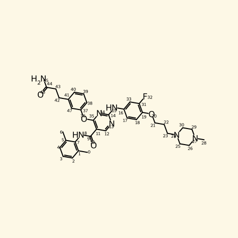 Cc1cccc(C)c1NC(=O)c1cnc(Nc2ccc(OCCCN3CCN(C)CC3)c(F)c2)nc1Oc1cccc(CCC(N)=O)c1